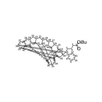 CC(C)COC(=O)CCCC1(c2ccccc2)C2C3=CC4CC5=CC6CC7Cc8cc9cc%10c%11c(c%12c3c3c%13c%14c%15c%16c(c8C7C=%15C6C%14=C5C34)c9c%11c%16c%13%12)C21C=%10